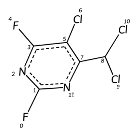 Fc1nc(F)c(Cl)c(C(Cl)Cl)n1